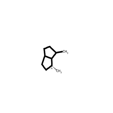 CC1CCC2CC[C@@H](C)C12